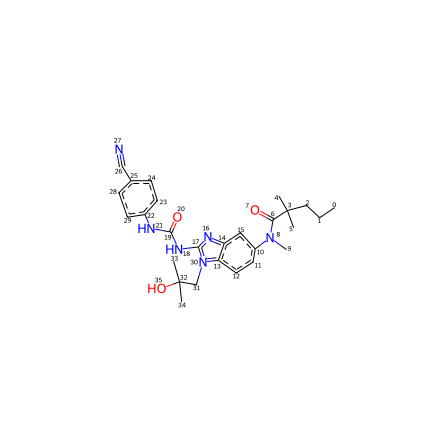 CCCC(C)(C)C(=O)N(C)c1ccc2c(c1)nc(NC(=O)Nc1ccc(C#N)cc1)n2CC(C)(C)O